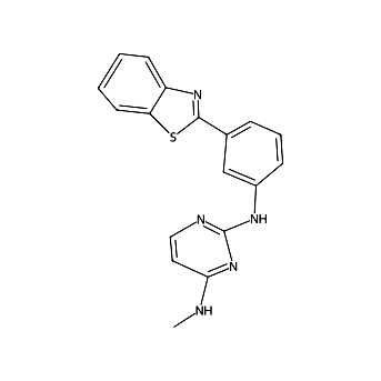 CNc1ccnc(Nc2cccc(-c3nc4ccccc4s3)c2)n1